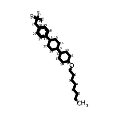 CCCCCCCCOC1CCC(C2CCC(c3ccc(CC(F)(F)F)cc3)CC2)CC1